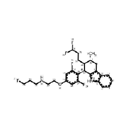 C[C@@H]1Cc2c([nH]c3ccccc23)[C@@H](c2c(F)cc(OCCNCCCF)cc2F)C1CCC(F)F